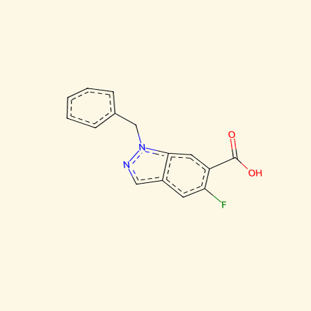 O=C(O)c1cc2c(cnn2Cc2ccccc2)cc1F